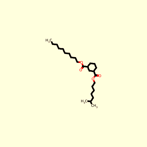 CCCCCCCCCCOC(=O)C1CCCC(C(=O)OCCCCCC(C)C)C1